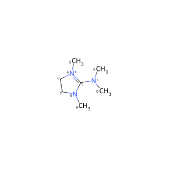 CN(C)C1=[N+](C)CCN1C